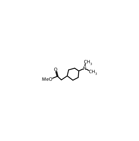 COC(=O)CC1CCC(N(C)C)CC1